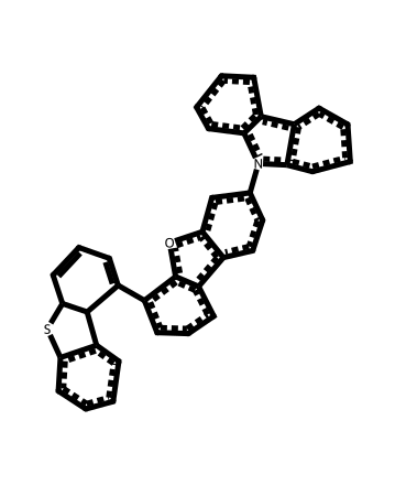 C1=CC2Sc3ccccc3C2C(c2cccc3c2oc2cc(-n4c5ccccc5c5ccccc54)ccc23)=C1